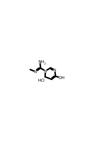 CN=C(N)N1C=NC(O)=CC1.Cl